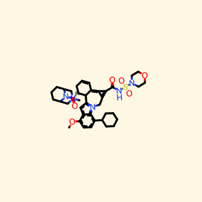 COc1ccc(C2CCCCC2)c2c1cc1n2CC2=C(C(=O)NS(=O)(=O)N3CCOCC3)C2=C2C=CC[C@@H](C(=O)N3C4CCCC3CN(C)C4)C21